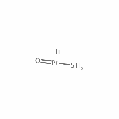 [O]=[Pt][SiH3].[Ti]